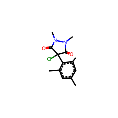 Cc1cc(C)c(C2(Cl)C(=O)N(C)N(C)C2=O)c(C)c1